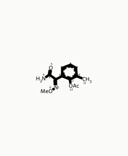 CON=C(C(N)=O)c1cccc(C)c1OC(C)=O